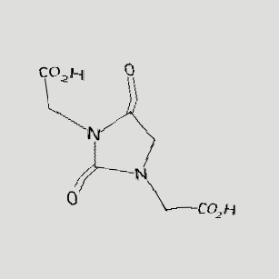 O=C(O)CN1CC(=O)N(CC(=O)O)C1=O